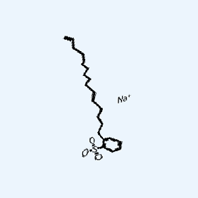 C=CCCCCCCCCCCCCCc1ccccc1S(=O)(=O)[O-].[Na+]